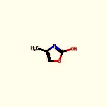 [CH2]c1coc(O)n1